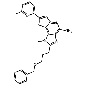 Cc1cccc(-c2cc3nc(N)c4nc(CCCOCc5ccccc5)n(C)c4c3s2)n1